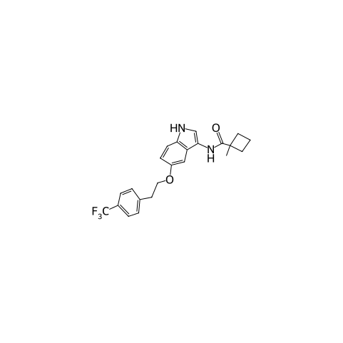 CC1(C(=O)Nc2c[nH]c3ccc(OCCc4ccc(C(F)(F)F)cc4)cc23)CCC1